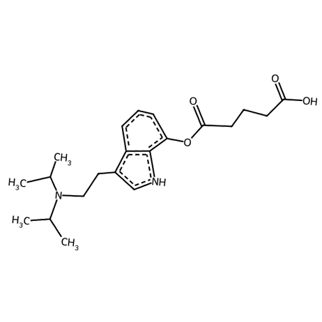 CC(C)N(CCc1c[nH]c2c(OC(=O)CCCC(=O)O)cccc12)C(C)C